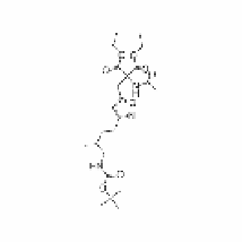 CCOC(=O)C(Cc1cc(CCC(C)CNC(=O)OC(C)(C)C)no1)(NC(C)=O)C(=O)OCC